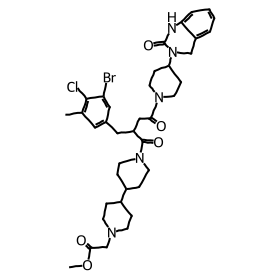 COC(=O)CN1CCC(C2CCN(C(=O)C(CC(=O)N3CCC(N4Cc5ccccc5NC4=O)CC3)Cc3cc(C)c(Cl)c(Br)c3)CC2)CC1